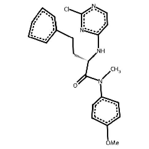 COc1ccc(N(C)C(=O)[C@H](CCc2ccccc2)Nc2ccnc(Cl)n2)cc1